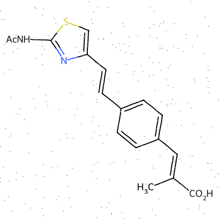 CC(=O)Nc1nc(C=Cc2ccc(/C=C(\C)C(=O)O)cc2)cs1